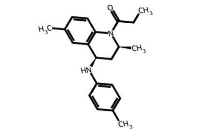 CCC(=O)N1c2ccc(C)cc2[C@H](Nc2ccc(C)cc2)C[C@@H]1C